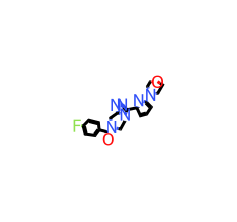 O=C(c1ccc(F)cc1)N1CCn2c(nnc2-c2cccc(N3CCOCC3)n2)C1